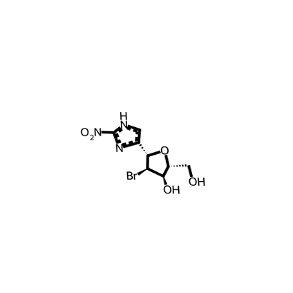 O=[N+]([O-])c1nc([C@@H]2O[C@H](CO)[C@@H](O)[C@H]2Br)c[nH]1